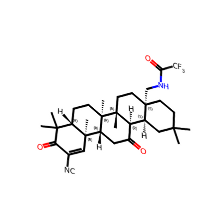 [C-]#[N+]C1=C[C@]2(C)[C@H]3CC(=O)[C@@H]4[C@@H]5CC(C)(C)CC[C@]5(CNC(=O)C(F)(F)F)CC[C@@]4(C)[C@]3(C)CC[C@H]2C(C)(C)C1=O